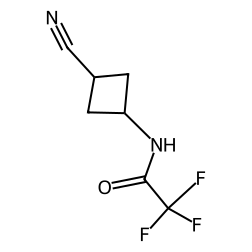 N#CC1CC(NC(=O)C(F)(F)F)C1